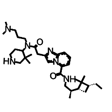 CC[C@@H]1C[C@H]([C@@H](C)CNC(=O)c2cccc3nc(CC(=O)N(CCCN(C)C)C4CCNCC4(C)C)cn23)C1(C)C